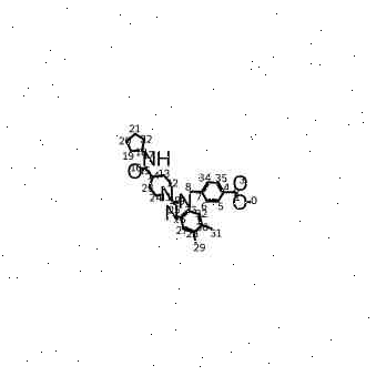 COC(=O)c1ccc(Cn2c(N3CCC(C(=O)NC4CCCC4)CC3)nc3cc(C)c(C)cc32)cc1